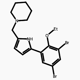 CCOc1c(Br)cc(Br)cc1-c1ccc(CN2CCCCC2)[nH]1